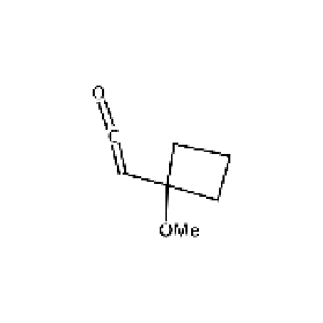 COC1(C=C=O)CCC1